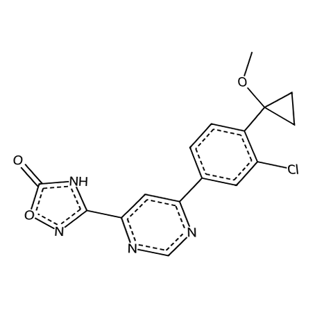 COC1(c2ccc(-c3cc(-c4noc(=O)[nH]4)ncn3)cc2Cl)CC1